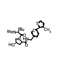 CN[C@H](C(=O)N1C[C@H](O)CC1C(=O)NCc1ccc(-c2sccc2C)cc1)C(C)(C)C